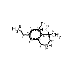 CCc1cc(F)c2c(c1)CNCC2(C)C